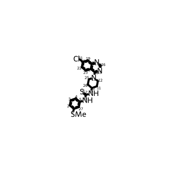 CSc1cccc(NC(=S)NC2CCN(c3ncnc4cc(Cl)ccc34)CC2)c1